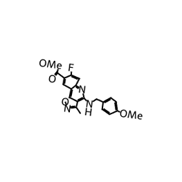 COC(=O)c1cc2c(cc1F)nc(NCc1ccc(OC)cc1)c1c(C)noc12